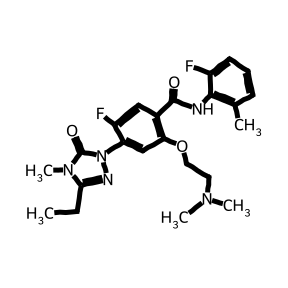 CCc1nn(-c2cc(OCCN(C)C)c(C(=O)Nc3c(C)cccc3F)cc2F)c(=O)n1C